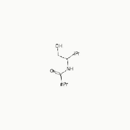 CCCC(=O)NC(CO)C(C)C